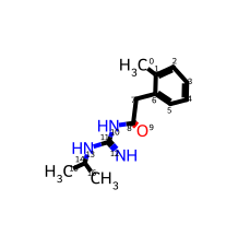 Cc1ccccc1CC(=O)NC(=N)NC(C)C